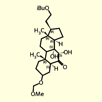 COCOC1CC[C@]2(C)C3CC[C@]4(C)[C@@H](CCOCC(C)C)CC[C@H]4[C@@]3(O)[C@H](O)C(=O)[C@H]2C1